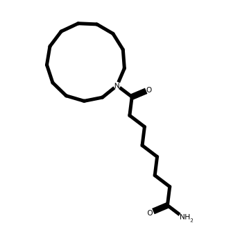 NC(=O)CCCCCCC(=O)N1CCCCCCCCCCCC1